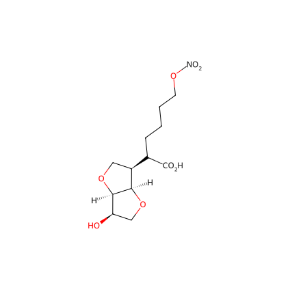 O=C(O)C(CCCCO[N+](=O)[O-])[C@@H]1CO[C@H]2[C@@H]1OC[C@H]2O